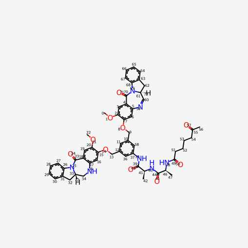 COc1cc2c(cc1OCc1cc(COc3cc4c(cc3OC)C(=O)N3c5ccccc5C[C@H]3CN4)cc(NC(=O)[C@H](C)NC(=O)[C@H](C)NC(=O)CCCCC(C)=O)c1)N=C[C@@H]1Cc3ccccc3N1C2=O